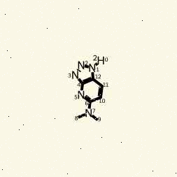 [2H]n1nnc2nc(N(C)C)ccc21